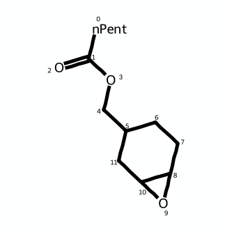 CCCCCC(=O)OCC1CCC2OC2C1